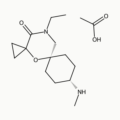 CC(=O)O.CCN1C[C@]2(CC[C@@H](NC)CC2)OC2(CC2)C1=O